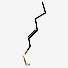 CCCC=CCSS